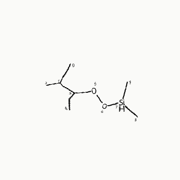 CC(C)C(C)OO[SiH](C)C